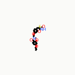 CCCOc1ccc2c(c1)OCN(CCOc1ccc(CC3SC(=O)NC3=O)cc1)C2=O